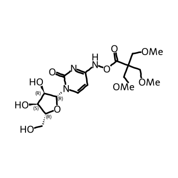 COCC(COC)(COC)C(=O)ONc1ccn([C@@H]2O[C@H](CO)[C@@H](O)[C@H]2O)c(=O)n1